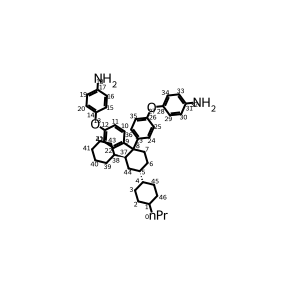 CCCC1CCC([C@H]2CCC(c3ccc(Oc4ccc(N)cc4)cc3)(c3ccc(Oc4ccc(N)cc4)cc3)[C@H](C3CCCCC3)C2)CC1